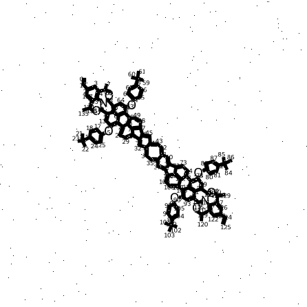 C=Cc1cc(C(C)C)c(N2C(=O)c3cc(Oc4ccc(C(C)(C)C)cc4)c4c5ccc6c7cc8ccc9cc%10c(cc9ccc8cc7c7ccc(c8c(Oc9ccc(C(C)(C)C)cc9)cc(c3c48)C2=O)c5c67)c2ccc3c4c(Oc5ccc(C(C)(C)C)cc5)cc5c6c(cc(Oc7ccc(C(C)(C)C)cc7)c(c7ccc%10c2c73)c64)C(=O)N(c2c(C(C)C)cc(C=C)cc2C(C)C)C5=O)c(C(C)C)c1